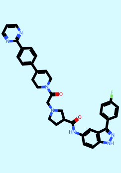 O=C(Nc1ccc2[nH]nc(-c3ccc(F)cc3)c2c1)C1CCN(CC(=O)N2CC=C(c3ccc(-c4ncccn4)cc3)CC2)C1